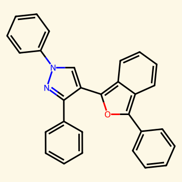 c1ccc(-c2nn(-c3ccccc3)cc2-c2oc(-c3ccccc3)c3ccccc23)cc1